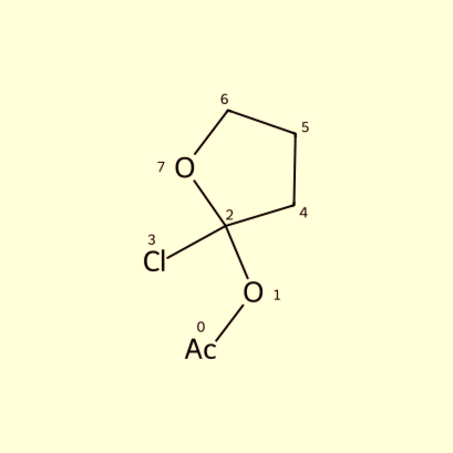 CC(=O)OC1(Cl)CCCO1